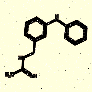 N=C(N)NCc1cc[c]c(Nc2ccccc2)c1